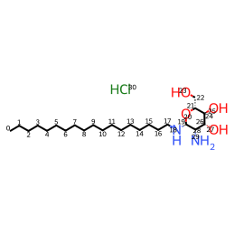 CCCCCCCCCCCCCCCCCCN[C@@H]1O[C@H](CO)[C@@H](O)[C@H](O)[C@@H]1N.Cl